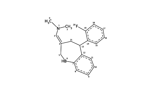 CN(C)/C=C1/CBc2ccccc2C(c2ccccc2F)C1